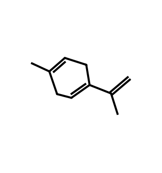 C=C(C)C1=CCC(C)=CC1